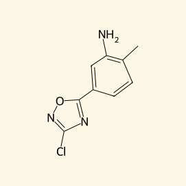 Cc1ccc(-c2nc(Cl)no2)cc1N